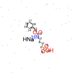 O=C(NCCCCS(=O)(=O)O)OCc1ccccc1.[NaH]